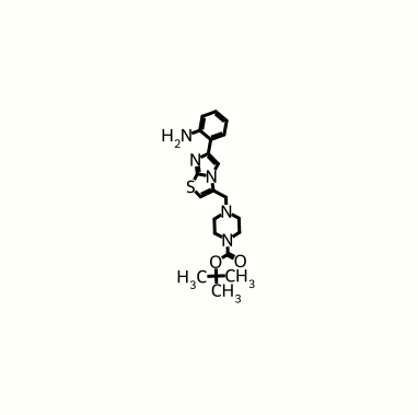 CC(C)(C)OC(=O)N1CCN(Cc2csc3nc(-c4ccccc4N)cn23)CC1